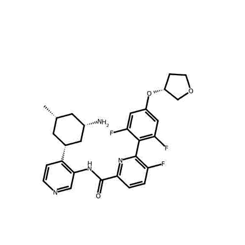 C[C@@H]1C[C@H](N)C[C@H](c2ccncc2NC(=O)c2ccc(F)c(-c3c(F)cc(O[C@@H]4CCOC4)cc3F)n2)C1